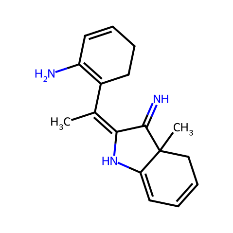 C/C(C1=C(N)C=CCC1)=C1\NC2=CC=CCC2(C)C1=N